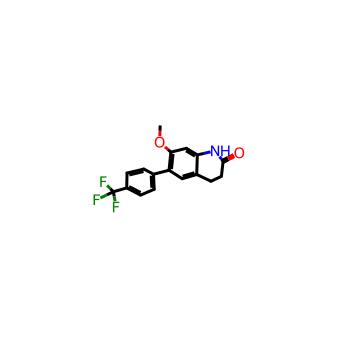 COc1cc2c(cc1-c1ccc(C(F)(F)F)cc1)CCC(=O)N2